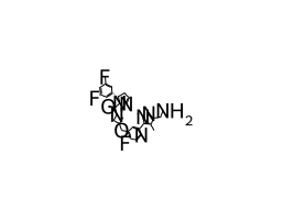 Cc1c(CN)nn(C)c1-c1cc(OC2CN(C(=O)N3N=CC[C@H]3c3cc(F)cc(F)c3)C2)c(F)cn1